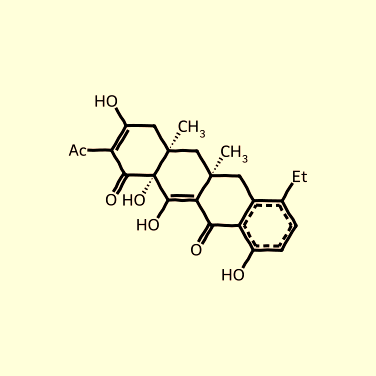 CCc1ccc(O)c2c1C[C@]1(C)C[C@]3(C)CC(O)=C(C(C)=O)C(=O)[C@]3(O)C(O)=C1C2=O